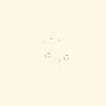 CC(=O)OC[C@H]1O[C@@H](Oc2ccccc2OS(=O)(=O)N(C)[C@H](C(=O)N(C)c2ccccc2)C(C)C)C[C@@H](OC(C)=O)[C@H]1OC(C)=O